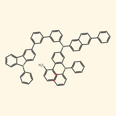 Cc1ccccc1-c1ccc(N(c2cccc(-c3cccc(-c4ccc5c(c4)c4ccccc4n5-c4ccccc4)c3)c2)c2ccc3cc(-c4ccccc4)ccc3c2)cc1N(c1ccccc1)c1ccccc1